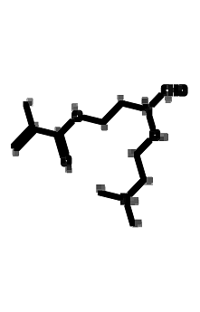 C=C(C)C(=O)OCCN(C=O)OCCN(C)C